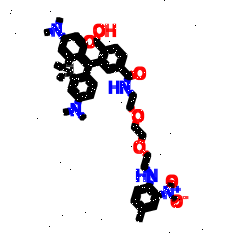 Cc1ccc(NCCOCCOCCNC(=O)c2ccc(C(=O)O)c(C3=C4C=CC(N(C)C)C=C4[Si](C)(C)c4cc(N(C)C)ccc43)c2)c([N+](=O)[O-])c1